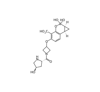 O=C(O)c1c(OC2CN(C(=O)[C@@H]3C[C@@H](O)CN3)C2)ccc2c1O[B-](O)(O)[C@H]1C[C@@H]21